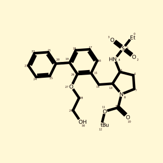 CCS(=O)(=O)NC1CCN(C(=O)OC(C)(C)C)C1Cc1cccc(-c2ccccc2)c1OCCO